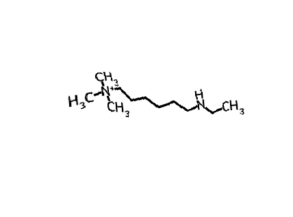 CCNCCCCCC[N+](C)(C)C